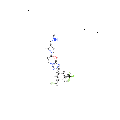 CNCC1CN(C(=O)/C=C\n2cnc(-c3cc(CF)cc(C(F)(F)F)c3)n2)C1